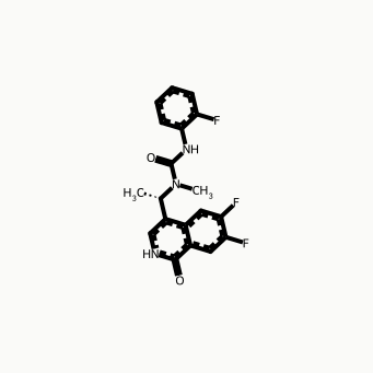 C[C@@H](c1c[nH]c(=O)c2cc(F)c(F)cc12)N(C)C(=O)Nc1ccccc1F